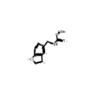 CC(C)(C)OC(=O)NCc1ccc2c(c1)[C]CO2